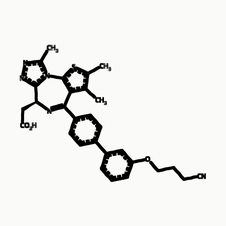 Cc1sc2c(c1C)C(c1ccc(-c3cccc(OCCCC#N)c3)cc1)=N[C@@H](CC(=O)O)c1nnc(C)n1-2